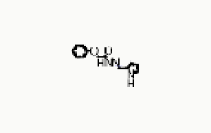 O=C(COc1ccccc1)N/N=C/c1ccc[nH]1